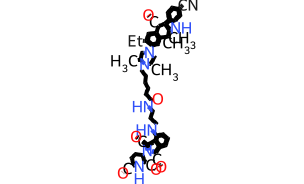 CCc1cc2c(cc1N1CC(C)N(CCCCCC(=O)NCCCNc3cccc4c(=C=O)n(C5CCC(=C=O)NC5=C=O)c(=C=O)c34)C(C)C1)C(C)(C)c1[nH]c3cc(C#N)ccc3c1C2=C=O